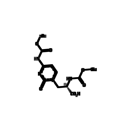 CCCCOC(=O)Nc1ccn(C[C@H](NC(=O)OC(C)(C)C)C(=O)O)c(=O)n1